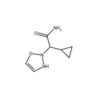 NC(=O)C(C1CC1)N1NC=CO1